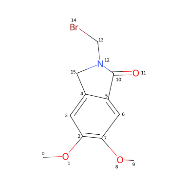 COc1cc2c(cc1OC)C(=O)N(CBr)C2